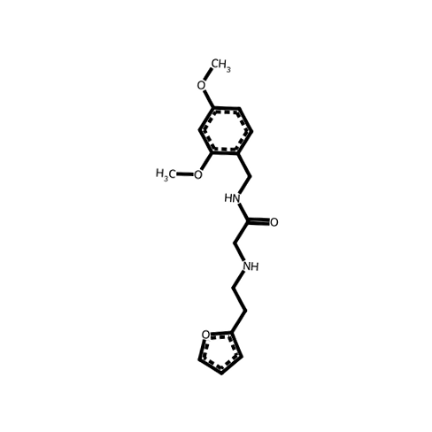 COc1ccc(CNC(=O)CNCCc2ccco2)c(OC)c1